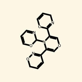 [C]1=C(C2=NOCC=C2)N(C2N=CC=CO2)C(C2=NCC=CO2)=CO1